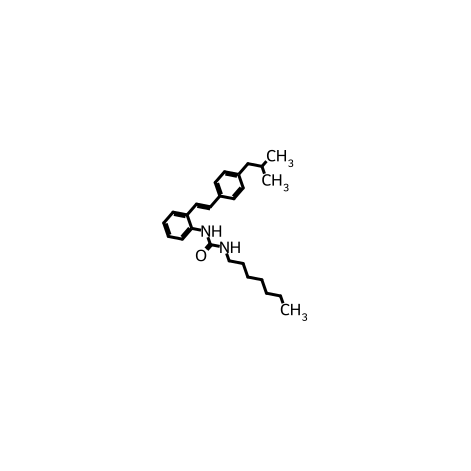 CCCCCCCNC(=O)Nc1ccccc1C=Cc1ccc(CC(C)C)cc1